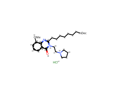 CCCCCCCCCCCCCCCCCc1nc2c(OC)cccc2c(=O)n1CCN1CCCC1.Cl